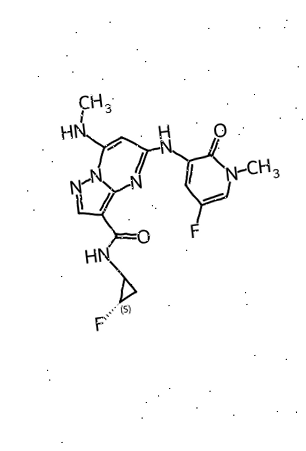 CNc1cc(Nc2cc(F)cn(C)c2=O)nc2c(C(=O)NC3C[C@@H]3F)cnn12